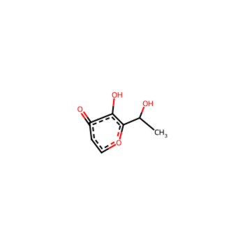 CC(O)c1occc(=O)c1O